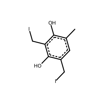 Cc1cc(CI)c(O)c(CI)c1O